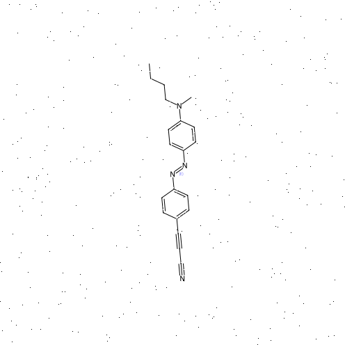 CCCCN(C)c1ccc(/N=N/c2ccc(C#CC#N)cc2)cc1